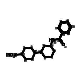 CCOC(=O)N1CCC(N2CCC[C@H](NC(=O)c3ccccc3)C2)CC1